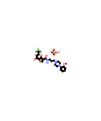 COc1ccccc1N1CCN(CCCNC(=O)c2csc3c(=O)cc(C(F)(F)F)oc23)CC1.CS(=O)(=O)O